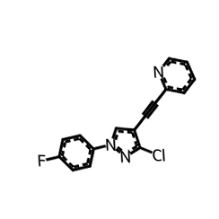 Fc1ccc(-n2cc(C#Cc3ccccn3)c(Cl)n2)cc1